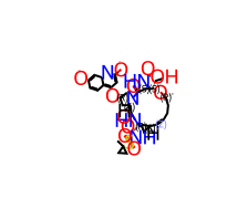 CC[C@@H]1O[C@H](C)CC/C=C\[C@@H]2C[C@@]2(C(=O)NS(=O)(=O)C2(C)CC2)NC(=O)[C@@H]2C[C@@H](Oc3cc(OC)nc4cc(OC)ccc34)CN2C(=O)[C@H]1NC(=O)O